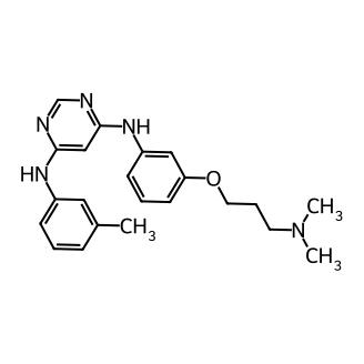 Cc1cccc(Nc2cc(Nc3cccc(OCCCN(C)C)c3)ncn2)c1